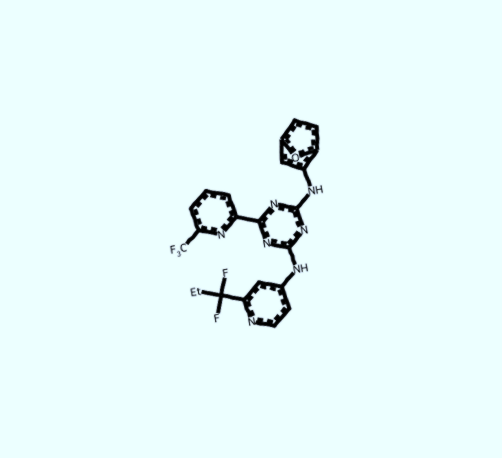 CCC(F)(F)c1cc(Nc2nc(Nc3cc4ccc3o4)nc(-c3cccc(C(F)(F)F)n3)n2)ccn1